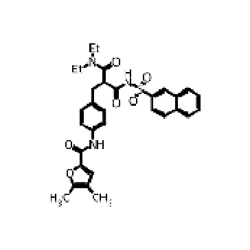 CCN(CC)C(=O)C(Cc1ccc(NC(=O)c2cc(C)c(C)o2)cc1)C(=O)NS(=O)(=O)c1ccc2ccccc2c1